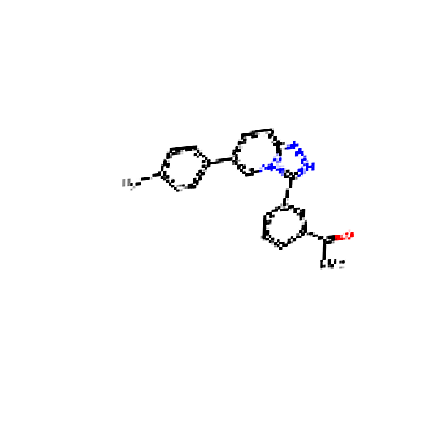 CNC(=O)c1cccc(-c2nnc3ccc(-c4ccc(C)cc4)cn23)c1